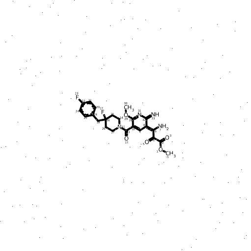 COC(=O)C(=O)/C(N)=C1\C=C(C(=O)N2CCC(F)(Cc3ccc(F)cc3)CC2)C(OC)=NC1=N